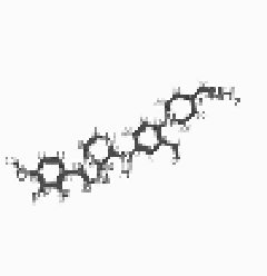 CCc1cc(Nc2nccn3c(-c4ccc(OC)c(F)c4F)cnc23)ccc1N1CCC(CN)CC1